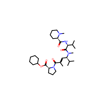 C/C(=C\[C@H](C(C)C)N(C)C(=O)[C@@H](NC(=O)[C@H]1CCCCN1C)C(C)C)C(=O)N1CCC[C@H]1C(=O)OC1CCCCC1